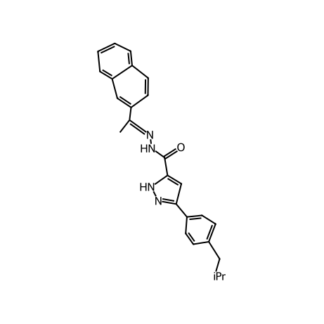 C/C(=N\NC(=O)c1cc(-c2ccc(CC(C)C)cc2)n[nH]1)c1ccc2ccccc2c1